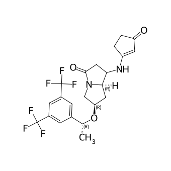 C[C@@H](O[C@@H]1C[C@@H]2C(NC3=CC(=O)CC3)CC(=O)N2C1)c1cc(C(F)(F)F)cc(C(F)(F)F)c1